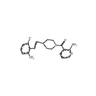 Cc1cccc(Cl)c1/C=C/C1CCN(C(=O)c2cccnc2N)CC1